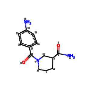 NC(=O)C1CCCN(C(=O)c2ccc(N)cc2)C1